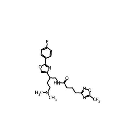 CN(C)CCC(CNC(=O)CCCc1noc(C(F)(F)F)n1)c1coc(-c2ccc(F)cc2)n1